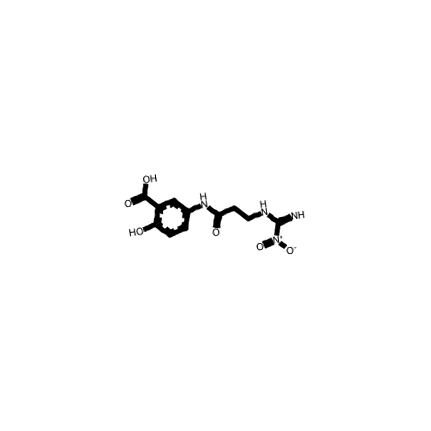 N=C(NCCC(=O)Nc1ccc(O)c(C(=O)O)c1)[N+](=O)[O-]